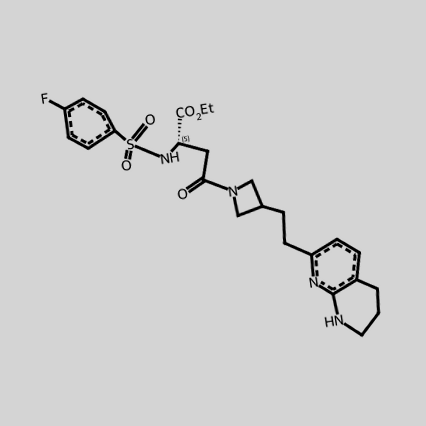 CCOC(=O)[C@H](CC(=O)N1CC(CCc2ccc3c(n2)NCCC3)C1)NS(=O)(=O)c1ccc(F)cc1